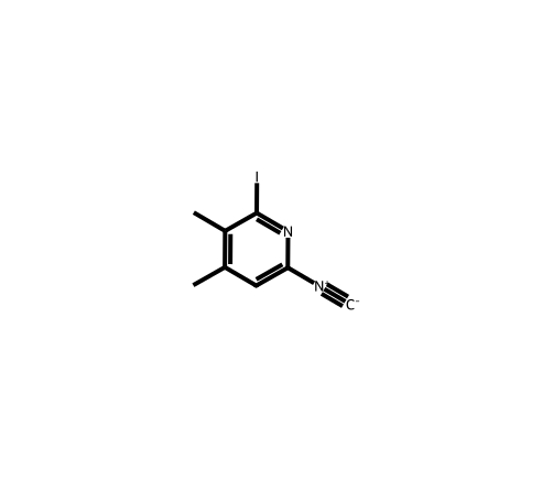 [C-]#[N+]c1cc(C)c(C)c(I)n1